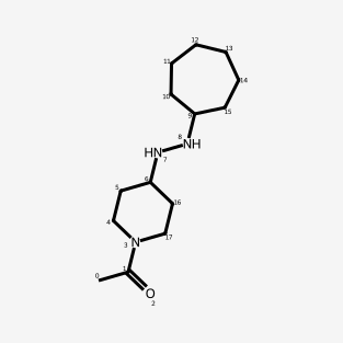 CC(=O)N1CCC(NNC2CCCCCC2)CC1